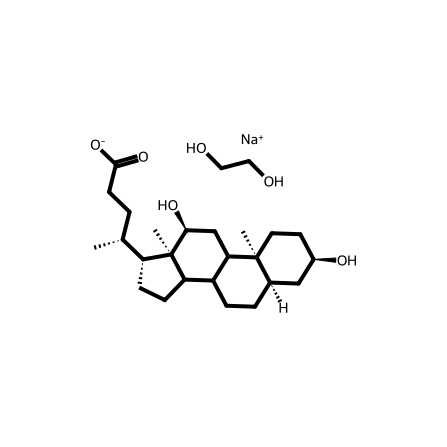 C[C@H](CCC(=O)[O-])[C@H]1CCC2C3CC[C@@H]4C[C@H](O)CC[C@]4(C)C3C[C@H](O)[C@@]21C.OCCO.[Na+]